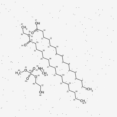 CCCCCCCCCCCCCCCC(=O)O.CCCCCCCCCCCCCCCC(=O)OCC.CN.COS(=O)(=O)OCCO